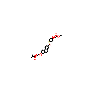 C=COC(=O)COc1ccc(SC(=O)c2ccc3c(ccc4cc(OCCOC(=O)C(=C)C)ccc43)c2)cc1